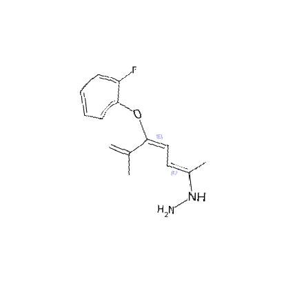 C=C(C)/C(=C\C=C(/C)NN)Oc1ccccc1F